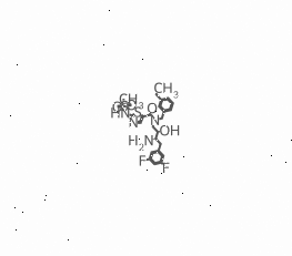 CCc1cccc(CN(C[C@@H](O)[C@@H](N)Cc2cc(F)cc(F)c2)C(=O)c2cnc(NS(C)(=O)=O)s2)c1